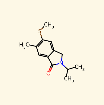 CSc1cc2c(cc1C)C(=O)N(C(C)C)C2